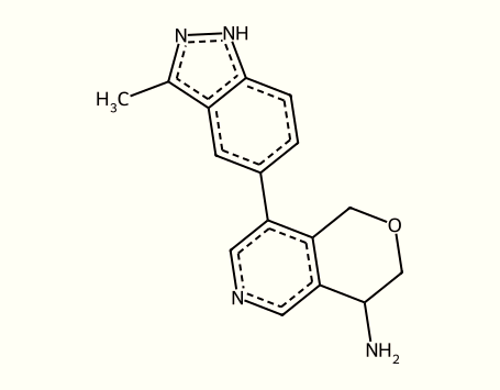 Cc1n[nH]c2ccc(-c3cncc4c3COCC4N)cc12